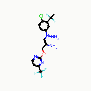 CC(F)(F)c1cc(N(N)/C=C(\N)COc2nccc(C(F)(F)F)n2)ccc1Cl